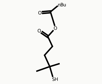 CCCCC(=O)OC(=O)CCC(C)(C)S